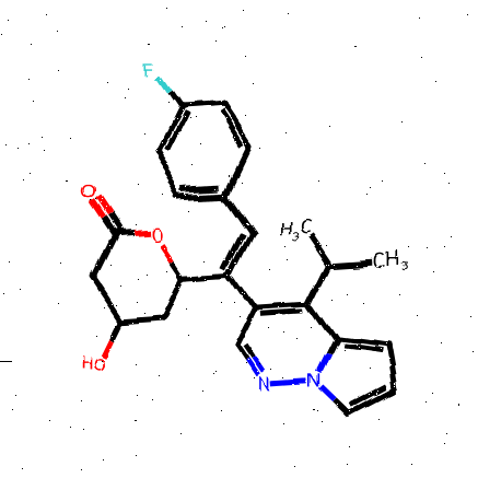 CC(C)c1c(C(=Cc2ccc(F)cc2)C2CC(O)CC(=O)O2)cnn2cccc12